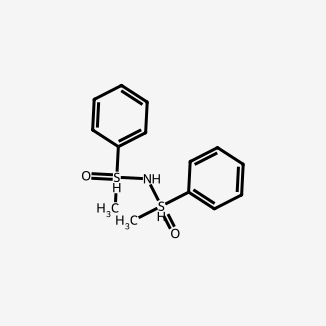 C[SH](=O)(N[SH](C)(=O)c1ccccc1)c1ccccc1